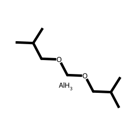 CC(C)COCOCC(C)C.[AlH3]